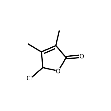 CC1=C(C)C(Cl)OC1=O